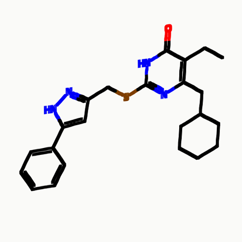 CCc1c(CC2CCCCC2)nc(SCc2cc(-c3ccccc3)[nH]n2)[nH]c1=O